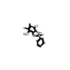 CCCCCCCCCCc1c(O)c(Cl)c(C)c(Cl)c1NS(=O)(=O)c1ccccc1